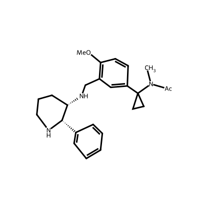 COc1ccc(C2(N(C)C(C)=O)CC2)cc1CN[C@H]1CCCN[C@H]1c1ccccc1